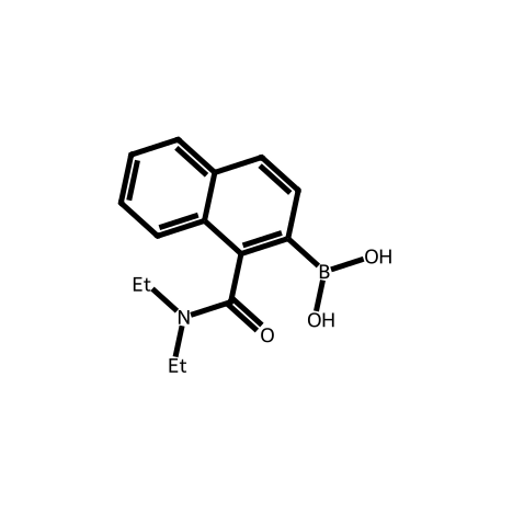 CCN(CC)C(=O)c1c(B(O)O)ccc2ccccc12